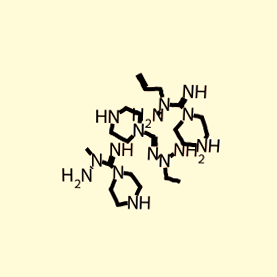 C=CCN(N)C(=N)N1CCNCC1.CCN(N)/N=C/N1CCNCC1.CN(N)C(=N)N1CCNCC1